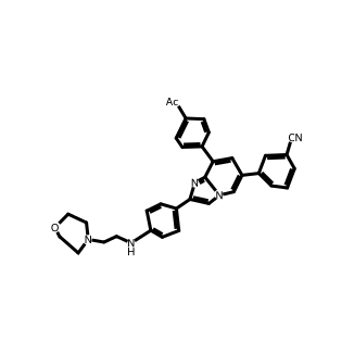 CC(=O)c1ccc(-c2cc(-c3cccc(C#N)c3)cn3cc(-c4ccc(NCCN5CCOCC5)cc4)nc23)cc1